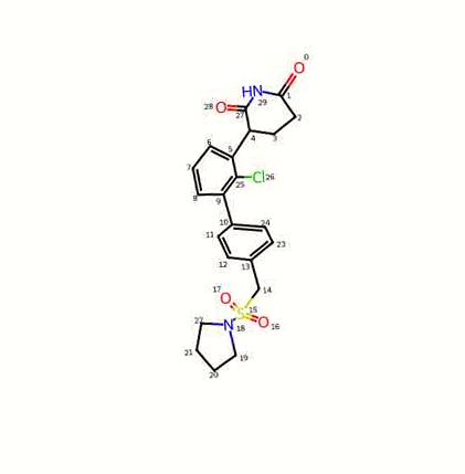 O=C1CCC(c2cccc(-c3ccc(CS(=O)(=O)N4CCCC4)cc3)c2Cl)C(=O)N1